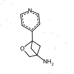 NC12COC(c3ccncc3)(C1)C2